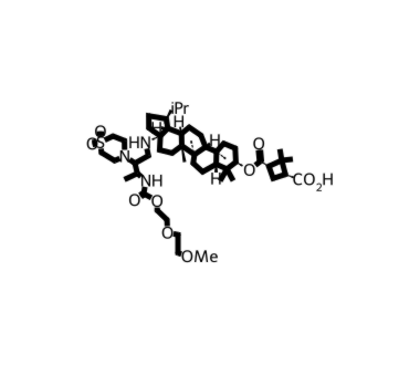 COCCOCCOC(=O)NC(C)C(CN[C@]12CC[C@@H](C(C)C)[C@@H]1[C@H]1CC[C@@H]3[C@@]4(C)CC[C@H](OC(=O)[C@H]5C[C@@H](C(=O)O)C5(C)C)C(C)(C)[C@@H]4CC[C@@]3(C)[C@]1(C)CC2)N1CCS(=O)(=O)CC1